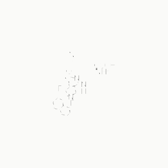 O=C(O)NC1CC(Nc2nc(OCC34CCCN3CCC4)nc3c(F)c(-c4cccc5cccc(F)c45)ncc23)C12CCC2